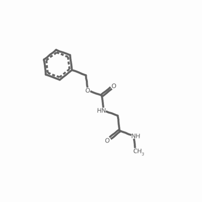 CNC(=O)CNC(=O)OCc1ccccc1